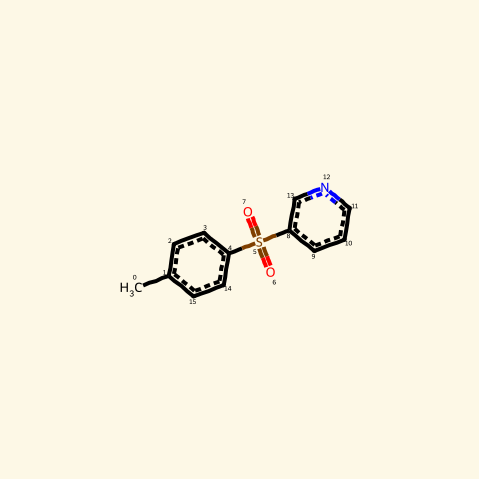 Cc1ccc(S(=O)(=O)c2cccnc2)cc1